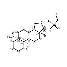 CCC(C)(C)C[C@H]1CCC2C3CC[C@]4(N)CCCC[C@]4(C)C3CCC21C